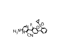 N#Cc1nc(N)cnc1-c1ccc(-c2ccccc2S(=O)(=O)C2CC2)cc1F